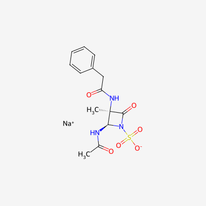 CC(=O)N[C@@H]1N(S(=O)(=O)[O-])C(=O)[C@]1(C)NC(=O)Cc1ccccc1.[Na+]